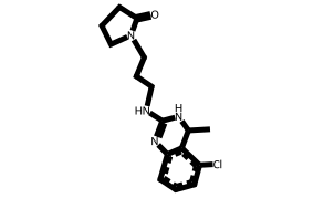 CC1NC(NCCCN2CCCC2=O)=Nc2cccc(Cl)c21